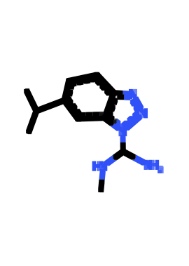 CNC(N)n1nnc2ccc(C(C)C)cc21